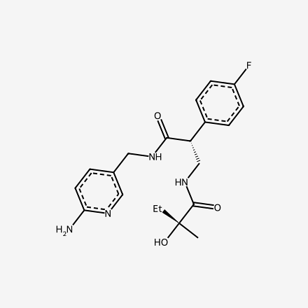 CC[C@@](C)(O)C(=O)NC[C@H](C(=O)NCc1ccc(N)nc1)c1ccc(F)cc1